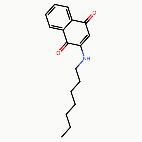 CCCCCCCNC1=CC(=O)c2ccccc2C1=O